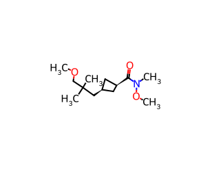 COCC(C)(C)C[C@H]1C[C@@H](C(=O)N(C)OC)C1